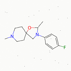 CC1OC2(CCN(C)CC2)CN1c1ccc(F)cc1